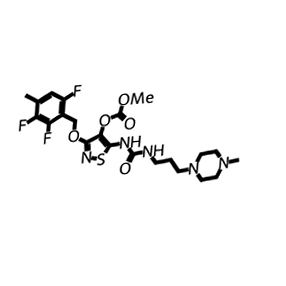 COC(=O)Oc1c(OCc2c(F)cc(C)c(F)c2F)nsc1NC(=O)NCCCN1CCN(C)CC1